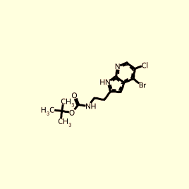 CC(C)(C)OC(=O)NCCc1cc2c(Br)c(Cl)cnc2[nH]1